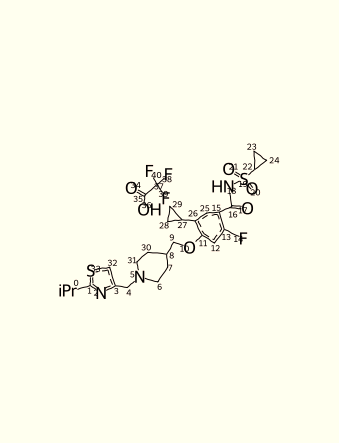 CC(C)c1nc(CN2CCC(COc3cc(F)c(C(=O)NS(=O)(=O)C4CC4)cc3C3CC3)CC2)cs1.O=C(O)C(F)(F)F